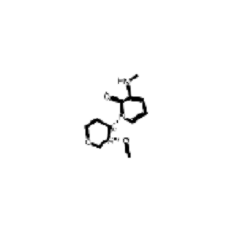 CNc1cccn([C@H]2CCOC[C@H]2OC)c1=O